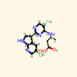 C[C@@H](CC(=O)O)Nc1nc(-c2c[nH]c3ncc(Cl)cc23)ncc1F